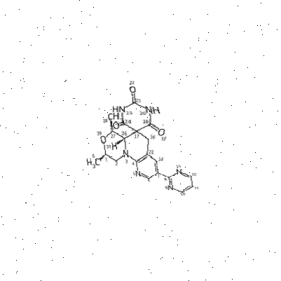 C[C@@H]1CN2c3ncc(-c4ncccn4)cc3CC3(C(=O)NC(=O)NC3=O)[C@H]2[C@H](C)O1